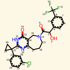 O=C(C(O)c1cccc(C(F)(F)F)c1)N1CCCc2nc(C3(c4cccc(Cl)c4)CC3)[nH]c(=O)c2C1